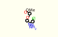 COC(=O)c1cccc(COc2cccc(-c3nc(N)nc4ccc(Cl)cc34)c2)c1